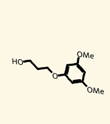 COc1cc(OC)cc(OCCCO)c1